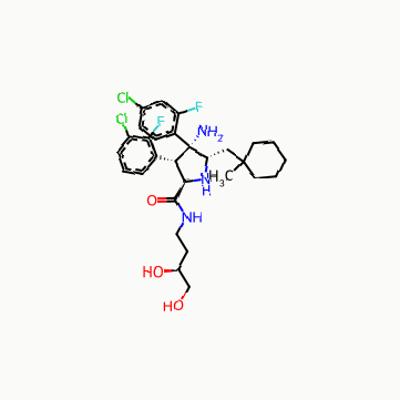 CC1(C[C@@H]2N[C@@H](C(=O)NCC[C@H](O)CO)[C@H](c3cccc(Cl)c3F)[C@@]2(N)c2ccc(Cl)cc2F)CCCCC1